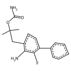 CC(C)(Cc1ccc(-c2ccccc2)c(F)c1N)OC(N)=O